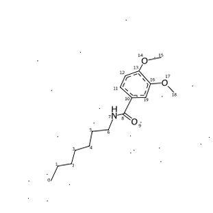 CCCCCCCNC(=O)c1ccc(OC)c(OC)c1